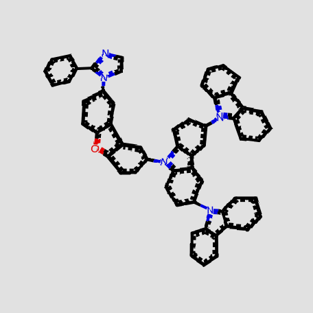 c1ccc(-c2nccn2-c2ccc3oc4ccc(-n5c6ccc(-n7c8ccccc8c8ccccc87)cc6c6cc(-n7c8ccccc8c8ccccc87)ccc65)cc4c3c2)cc1